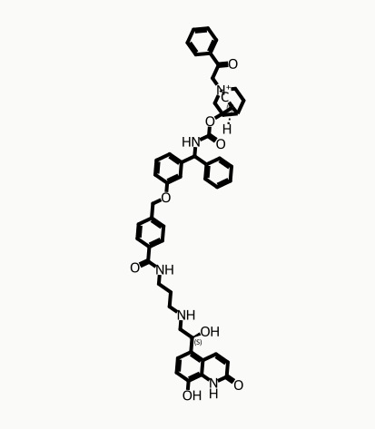 O=C(NC(c1ccccc1)c1cccc(OCc2ccc(C(=O)NCCCNC[C@@H](O)c3ccc(O)c4[nH]c(=O)ccc34)cc2)c1)O[C@H]1C[N+]2(CC(=O)c3ccccc3)CCC1CC2